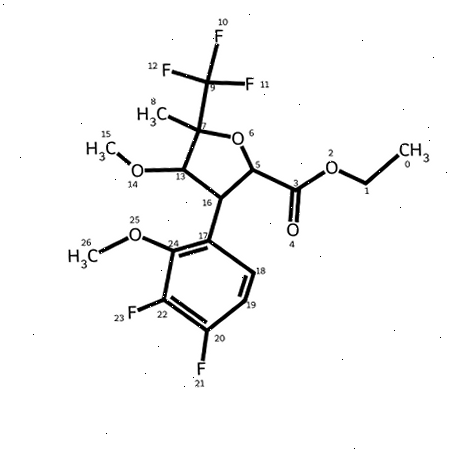 CCOC(=O)C1OC(C)(C(F)(F)F)C(OC)C1c1ccc(F)c(F)c1OC